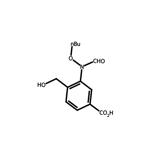 CCCCON(C=O)c1cc(C(=O)O)ccc1CO